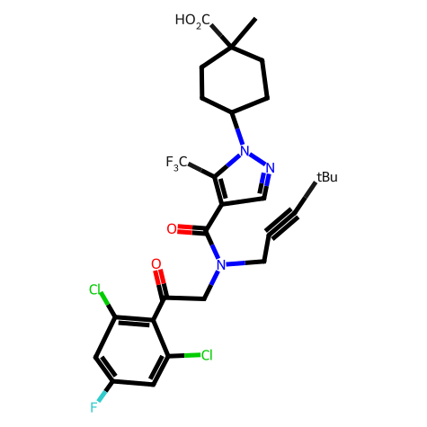 CC(C)(C)C#CCN(CC(=O)c1c(Cl)cc(F)cc1Cl)C(=O)c1cnn(C2CCC(C)(C(=O)O)CC2)c1C(F)(F)F